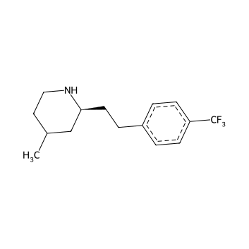 CC1CCN[C@@H](CCc2ccc(C(F)(F)F)cc2)C1